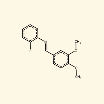 COc1ccc(C=Nc2ccccc2F)cc1OC